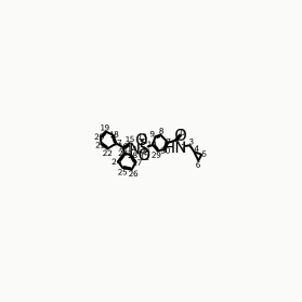 O=C(NCC1CC1)c1ccc(S(=O)(=O)n2cc(-c3ccccc3)c3ccccc32)cc1